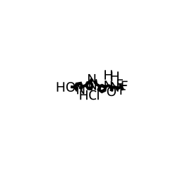 Cl.O=C(NCC(F)(F)F)Nc1cccc(-c2cnc3cc(-c4ccc(O)cn4)ccn23)c1